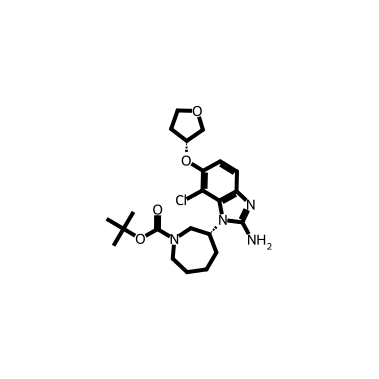 CC(C)(C)OC(=O)N1CCCC[C@@H](n2c(N)nc3ccc(O[C@@H]4CCOC4)c(Cl)c32)C1